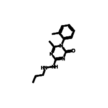 CCCNNc1nc(C)n(-c2ccccc2C)c(=O)n1